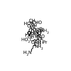 CC(C)C[C@H](NC(=O)[C@H](CCC(=O)O)NC(=O)[C@@H](N)CCCCN)C(=O)N[C@@H](CC(N)=O)C(=O)N[C@H](C(=O)N[C@@H](CC(C)C)C(=O)N[C@@H](Cc1ccc(O)c(I)c1)C(=O)N[C@H](C=O)[C@@H](C)O)C(C)C